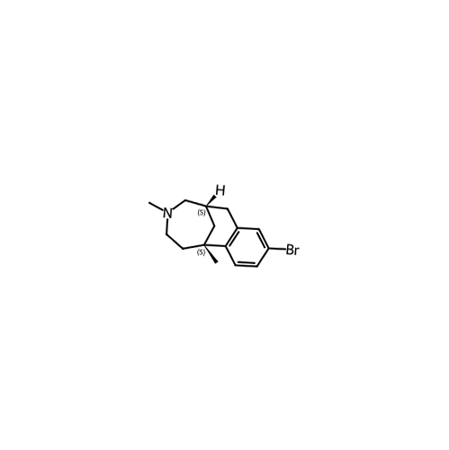 CN1CC[C@]2(C)C[C@@H](Cc3cc(Br)ccc32)C1